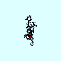 CC(C)[C@@H](C)[C@@]1(C)CC[C@]2(C)[C@H]3CC[C@@H]4C5(COC[C@]4(C)[C@@H](OCC=O)[C@H](C)C5)C3=CC[C@@]2(C)[C@@H]1C(=O)OCc1ccccc1